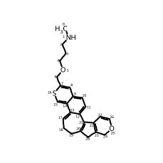 CNCCCOCC1=Cc2ccc3c(c2=CS1)=CCCC1=C3C2=C(COC=C2)C1